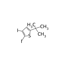 CC(C)(C)c1cc(I)c(I)s1